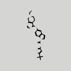 CCN1CCc2c(ncnc2Oc2ccc3c(ccn3C(=O)Nc3cc(C(C)(C)C)on3)c2)C1